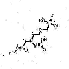 CCCO[PH](=O)CN(CCNCP(=O)(O)O)C[PH](=O)O